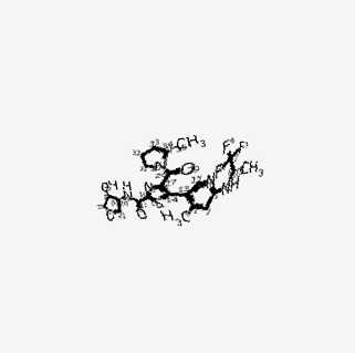 Cc1cc(N[C@@H](C)C(F)(F)F)ncc1-c1sc(C(=O)N[C@H]2COC[C@H]2O)nc1C(=O)N1CCC[C@@H]1C